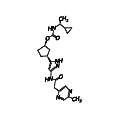 Cc1cnc(CC(=O)Nc2cc([C@H]3CC[C@@H](OC(=O)N[C@@H](C)C4CC4)C3)[nH]n2)cn1